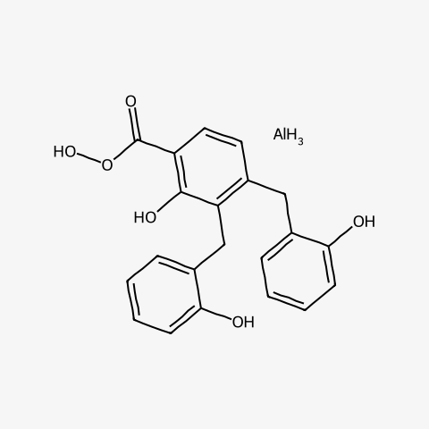 O=C(OO)c1ccc(Cc2ccccc2O)c(Cc2ccccc2O)c1O.[AlH3]